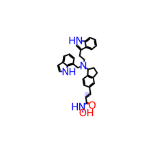 O=C(/C=C/c1ccc2c(c1)CCC2N(CCc1c[nH]c2ccccc12)Cc1cccc2cc[nH]c12)NO